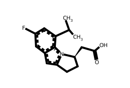 CC(C)c1cc(F)cc2cc3n(c12)[C@@H](CC(=O)O)CC3